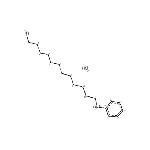 CC(C)CCCCCCCCCCCCNc1ccccc1.Cl